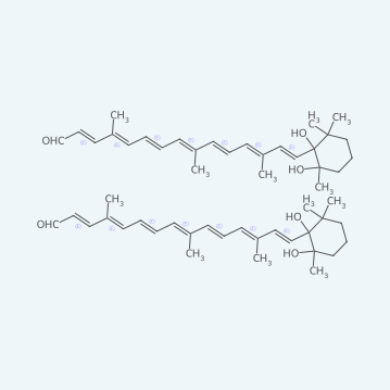 CC(/C=C/C=O)=C\C=C\C=C(C)\C=C\C=C(C)\C=C\C1(O)C(C)(C)CCCC1(C)O.CC(/C=C/C=O)=C\C=C\C=C(C)\C=C\C=C(C)\C=C\C1(O)C(C)(C)CCCC1(C)O